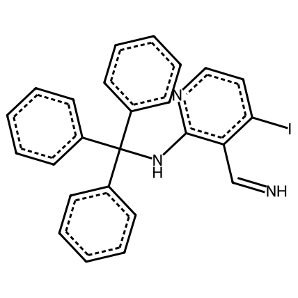 N=Cc1c(I)ccnc1NC(c1ccccc1)(c1ccccc1)c1ccccc1